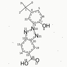 CC(C)(C)c1ccc(O)c(-n2nc3ccc(C(=O)O)cc3n2)c1